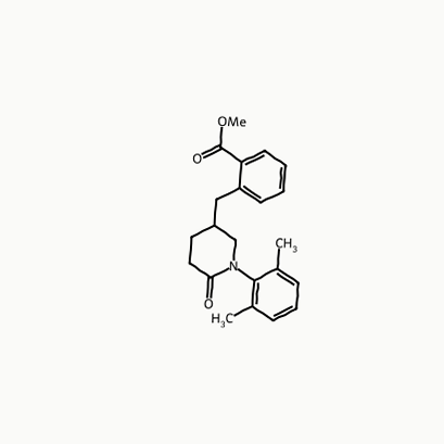 COC(=O)c1ccccc1CC1CCC(=O)N(c2c(C)cccc2C)C1